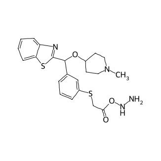 CN1CCC(OC(c2cccc(SCC(=O)ONN)c2)c2nc3ccccc3s2)CC1